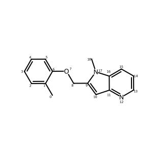 Cc1ccccc1OCc1cc2ncccc2n1C